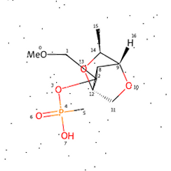 COCC1(OP(C)(=O)O)C2[C@H]3OC[C@]21O[C@H]3C